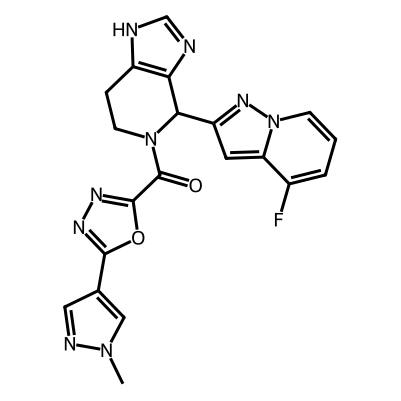 Cn1cc(-c2nnc(C(=O)N3CCc4[nH]cnc4C3c3cc4c(F)cccn4n3)o2)cn1